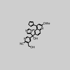 COc1cc(C2=CCC=C2)c2cc(C(O)(c3cnc(C#N)c(CO)c3)c3cncn3C)ccc2n1